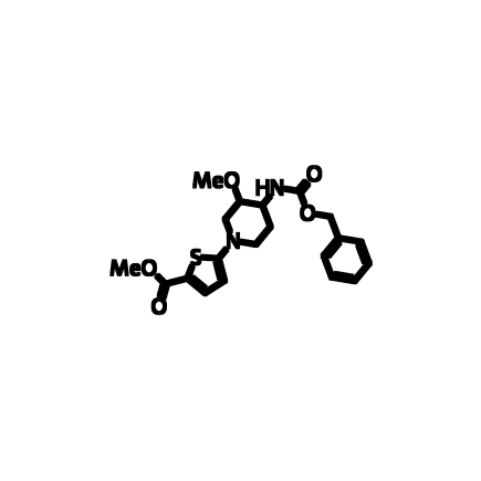 COC(=O)c1ccc(N2CCC(NC(=O)OCc3ccccc3)C(OC)C2)s1